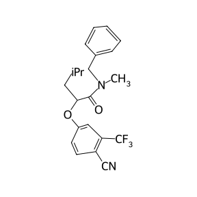 CC(C)CC(Oc1ccc(C#N)c(C(F)(F)F)c1)C(=O)N(C)Cc1ccccc1